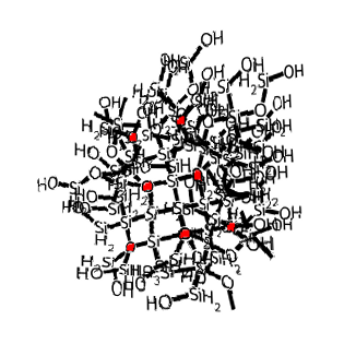 CO[Si]([SiH3])([SiH2]O)[Si](O[Si](C)(C)O)(O[Si]([Si](O[Si](C)(C)O[Si](C)(C)C)(O[Si](O[Si](O[SiH2]O)([SiH2]O)[SiH2]O)([Si](O[SiH2]O)([SiH2]O)[SiH2]O)[Si](O[SiH2]O)([SiH2]O)[SiH2]O)[Si](O[Si](O[SiH2]O)([SiH2]O)[SiH2]O)([Si](O[SiH2]O)([SiH2]O)[SiH2]O)[Si](O[SiH2]O)([SiH2]O)[SiH2]O)([Si](O[Si](O[SiH2]O)([SiH2]O)[SiH2]O)([Si](O[SiH2]O)([SiH2]O)[SiH2]O)[Si](O[SiH2]O)([SiH2]O)[SiH2]O)[Si](O[Si](O[SiH2]O)([SiH2]O)[SiH2]O)([Si](O[SiH2]O)([SiH2]O)[SiH2]O)[Si](O[SiH2]O)([SiH2]O)[SiH2]O)[Si](O[SiH2]O)([SiH2]O)[Si](C)(C)O